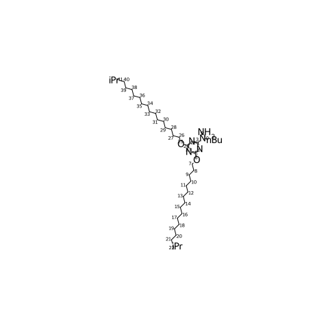 CCCCN(N)c1nc(OCCCCCCCCCCCCCCCC(C)C)nc(OCCCCCCCCCCCCCCCC(C)C)n1